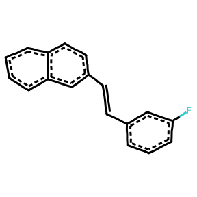 Fc1cccc(C=Cc2ccc3ccccc3c2)c1